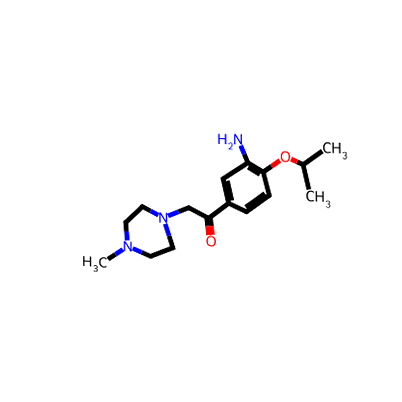 CC(C)Oc1ccc(C(=O)CN2CCN(C)CC2)cc1N